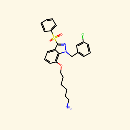 NCCCCCCOc1cccc2c(S(=O)(=O)c3ccccc3)nn(Cc3cccc(Cl)c3)c12